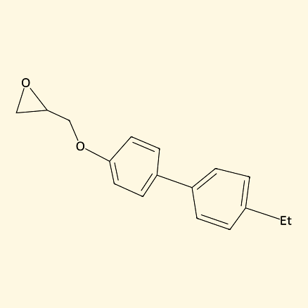 CCc1ccc(-c2ccc(OCC3CO3)cc2)cc1